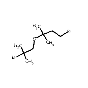 CC(C)(Br)COC(C)(C)CCBr